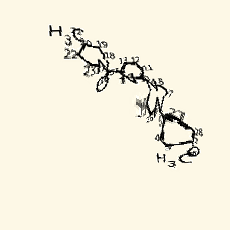 COc1ccc(N2CCN(c3cccc(C(=O)N4CCC(C)CC4)n3)CC2)cc1